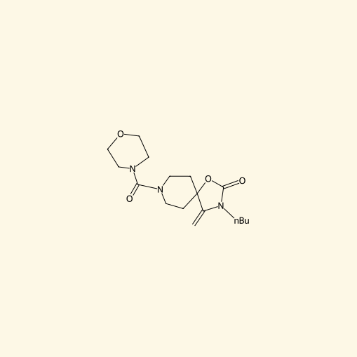 C=C1N(CCCC)C(=O)OC12CCN(C(=O)N1CCOCC1)CC2